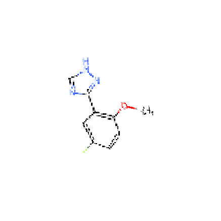 COc1ccc(F)cc1-c1nc[nH]n1